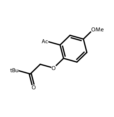 COc1ccc(OCC(=O)C(C)(C)C)c(C(C)=O)c1